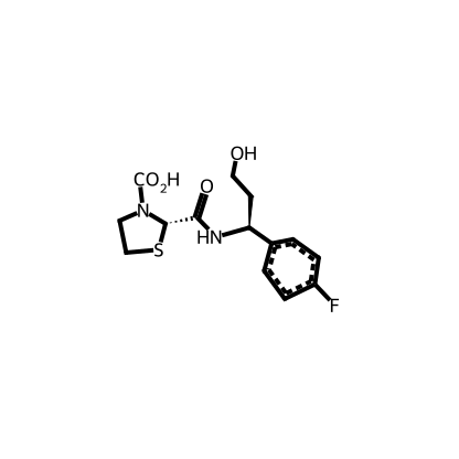 O=C(N[C@@H](CCO)c1ccc(F)cc1)[C@@H]1SCCN1C(=O)O